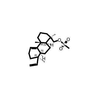 C=C[C@@]1(C)CCC=C2[C@H]1CC[C@@H]1[C@](C)(COS(C)(=O)=O)CCC[C@@]21C